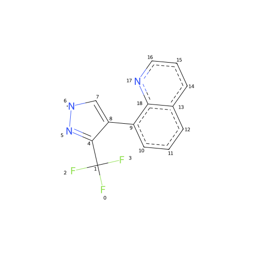 FC(F)(F)C1=N[N]C=C1c1cccc2cccnc12